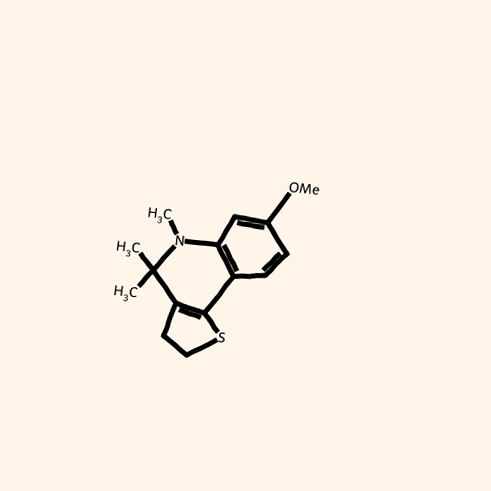 COc1ccc2c(c1)N(C)C(C)(C)C1=C2SCC1